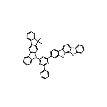 CC1(C)c2ccccc2-c2cc3c4ccccc4n(-c4nc(-c5ccccc5)nc(-c5ccc6c(c5)oc5c6ccc6c7ccccc7oc65)n4)c3cc21